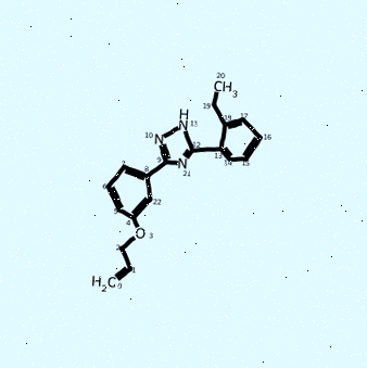 C=CCOc1cccc(-c2n[nH]c(-c3ccccc3CC)n2)c1